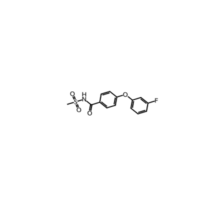 CS(=O)(=O)NC(=O)c1ccc(Oc2cccc(F)c2)cc1